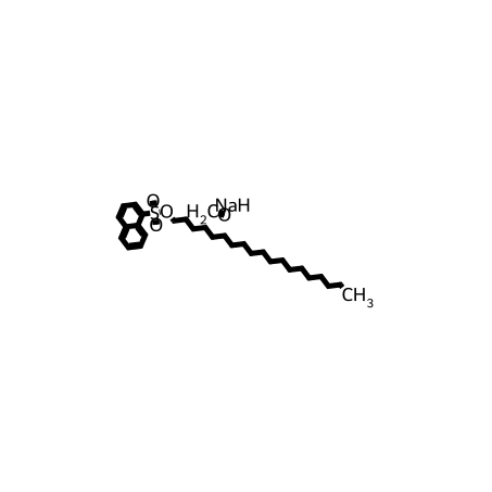 C=O.CCCCCCCCCCCCCCCCCCCOS(=O)(=O)c1cccc2ccccc12.[NaH]